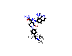 CN(C)CC(C)(C)c1ccc(N2CCc3c(C(N)=O)nn(-c4ccc5ccnc(N)c5c4)c3C2=O)cc1